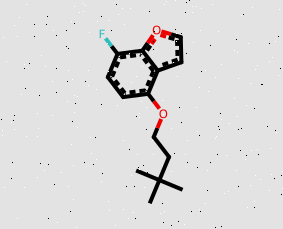 CC(C)(C)CCOc1ccc(F)c2occc12